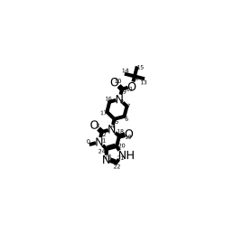 Cn1c(=O)n(C2CCN(C(=O)OC(C)(C)C)CC2)c(=O)c2[nH]cnc21